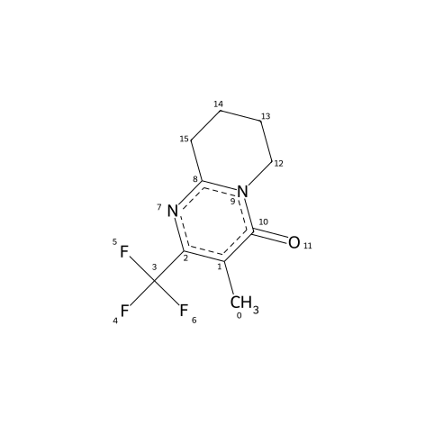 Cc1c(C(F)(F)F)nc2n(c1=O)CCCC2